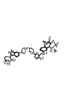 C[C@@H]1CN(c2ncc(Cl)c(Nc3ccc4c(c3)c3c(c(=O)n4C)OCC(F)(F)[C@H](C4CC4)N3)n2)CC[C@H]1CN1CCC(c2ccc3c(C4CCC(=O)NC4=O)nn(C)c3c2)CC1